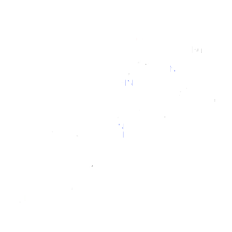 CCC(C)n1c(=O)cc(NCc2ccc(F)cc2)[nH]c1=O